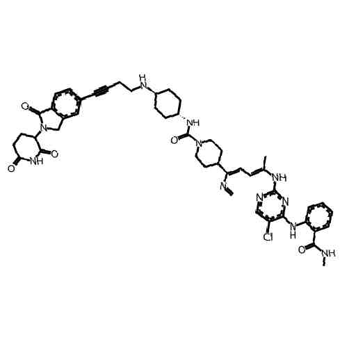 C=N/C(=C\C=C(/C)Nc1ncc(Cl)c(Nc2ccccc2C(=O)NC)n1)C1CCN(C(=O)N[C@H]2CC[C@H](NCCC#Cc3ccc4c(c3)CN(C3CCC(=O)NC3=O)C4=O)CC2)CC1